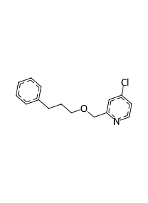 Clc1ccnc(COCCCc2ccccc2)c1